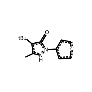 Cc1[nH]n(-c2ccccc2)c(=O)c1C(C)(C)C